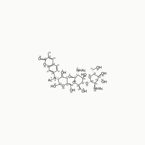 CC(=O)N[C@H]1[C@H](O[C@H]2[C@H](O)[C@@H](N(C(C)=O)c3ccc4cc(C)c(=O)oc4c3)C(O)O[C@@H]2CO)O[C@H](CO)[C@@H](O[C@@H]2O[C@H](CO)[C@@H](O)[C@H](O)[C@H]2NC(C)=O)[C@@H]1O